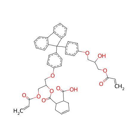 C=CC(=O)OCC(O)COc1ccc(C2(c3ccc(OCC(COC(=O)C=C)OC(=O)C4CC=CCC4C(=O)O)cc3)c3ccccc3-c3ccccc32)cc1